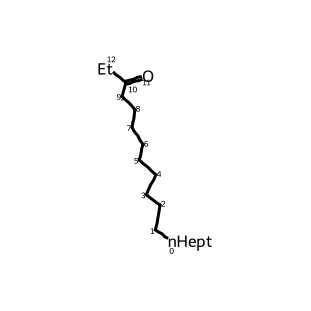 [CH2]CCCCCCCCCCCCCC[CH]C(=O)CC